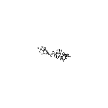 COc1ccnc(C(=O)N[C@@H](C)C(=O)OC2CC2c2ccc(C(C)(C)C)cc2)c1O